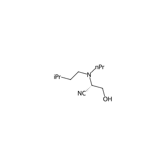 CCCN(CCC(C)C)[C@@H](C#N)CO